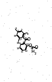 Cc1cc(C)c(C(=O)c2ccccc2O[PH2]=O)c(C)c1